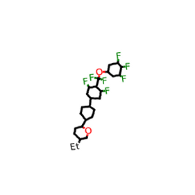 CCC1CCC(C2CCC(C3CC(F)C(C(F)(F)OC4CC(F)C(F)C(F)C4)C(F)C3)CC2)OC1